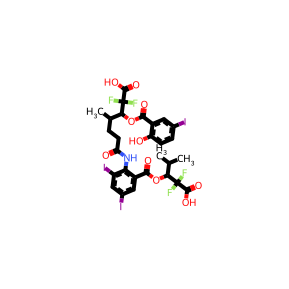 CC(C)C(OC(=O)c1cc(I)cc(I)c1NC(=O)CCC(C)C(OC(=O)c1cc(I)ccc1O)C(F)(F)C(=O)O)C(F)(F)C(=O)O